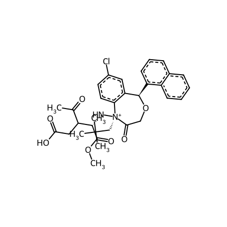 COC(=O)[C@@H](N[N@+]1(CC(C)(C)C)C(=O)CO[C@H](c2cccc3ccccc23)c2cc(Cl)ccc21)C(CC(=O)O)C(C)=O